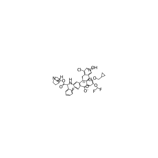 O=C([O-])c1ccc(NC(C(=O)O[C@H]2CN3CCC2CC3)c2ccccc2F)cc1[C@@H](Cc1c(Cl)c[n+](O)cc1Cl)c1ccc(OC(F)F)c(OCC2CC2)c1